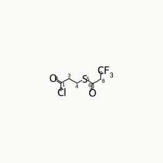 O=C(Cl)CCSC(=O)CC(F)(F)F